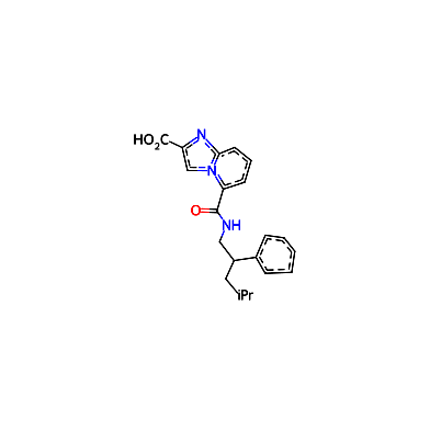 CC(C)CC(CNC(=O)c1cccc2nc(C(=O)O)cn12)c1ccccc1